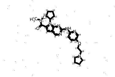 CN(C)C(=O)c1cc2cnc(Nc3ccc(OCCN4CCCC4)cn3)nc2n1C1CCCC1